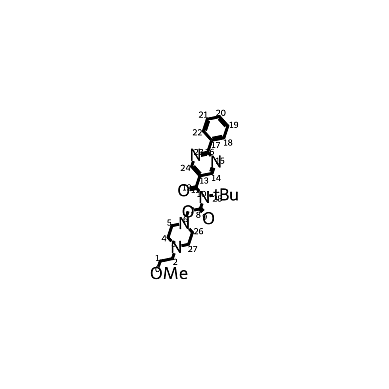 COCCN1CCN(OC(=O)N(C(=O)c2cnc(-c3ccccc3)nc2)C(C)(C)C)CC1